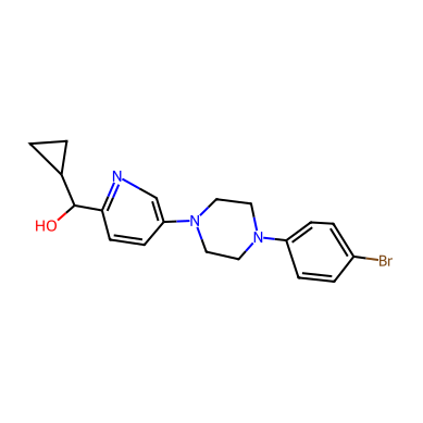 OC(c1ccc(N2CCN(c3ccc(Br)cc3)CC2)cn1)C1CC1